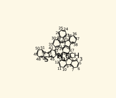 CC1(C)c2ccccc2-c2cccc(N(c3ccc4c(c3)C(c3ccccc3)(c3ccccc3)c3ccccc3-4)c3ccc4c(c3)sc3ccccc34)c21